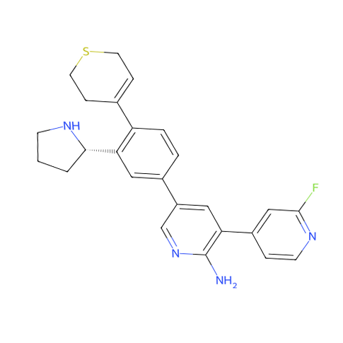 Nc1ncc(-c2ccc(C3=CCSCC3)c([C@@H]3CCCN3)c2)cc1-c1ccnc(F)c1